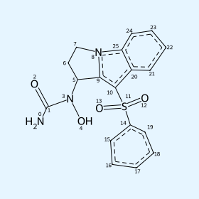 NC(=O)N(O)C1CCn2c1c(S(=O)(=O)c1ccccc1)c1ccccc12